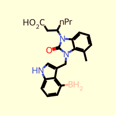 Bc1cccc2[nH]cc(Cn3c(=O)n(C(CCC)CC(=O)O)c4cccc(C)c43)c12